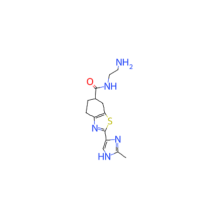 Cc1nc(-c2nc3c(s2)CC(C(=O)NCCN)CC3)c[nH]1